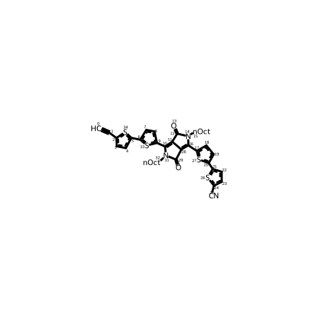 C#Cc1ccc(-c2ccc(C3=C4C(=O)N(CCCCCCCC)C(c5ccc(-c6ccc(C#N)s6)s5)=C4C(=O)N3CCCCCCCC)s2)s1